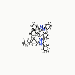 c1ccc(-c2ccc(-c3nc(-c4ccccc4)cc(-c4cccc5c4cc(-c4ccccc4)c4c(-c6ccccc6)nn(-c6ccccc6)c45)n3)cc2)cc1